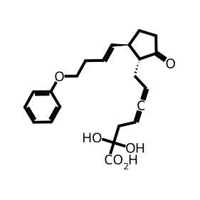 O=C1CC[C@H](/C=C/CCOc2ccccc2)[C@H]1CC=C=CCC(O)(O)C(=O)O